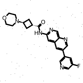 O=C(Nc1cc2cc(-c3cncc(F)c3)cnc2cn1)[C@H]1C[C@H](N2CCOCC2)C1